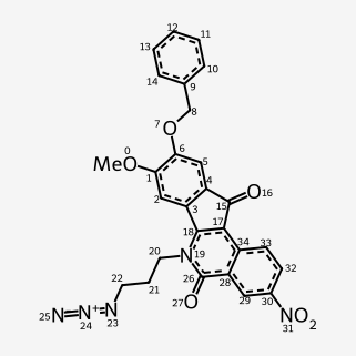 COc1cc2c(cc1OCc1ccccc1)C(=O)c1c-2n(CCCN=[N+]=[N-])c(=O)c2cc([N+](=O)[O-])ccc12